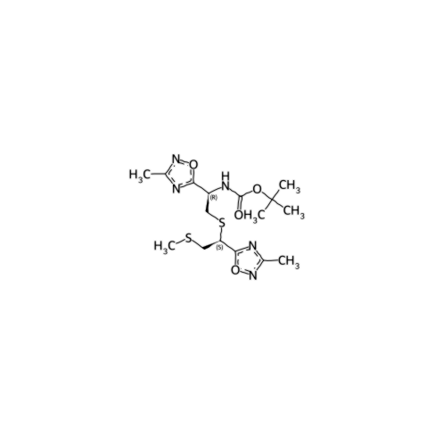 CSC[C@@H](SC[C@H](NC(=O)OC(C)(C)C)c1nc(C)no1)c1nc(C)no1